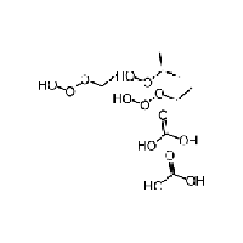 CC(C)OO.CCOOO.CCOOO.O=C(O)O.O=C(O)O